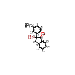 CC(C)c1cccc(C2(Br)Cc3ccccc3C2=O)c1